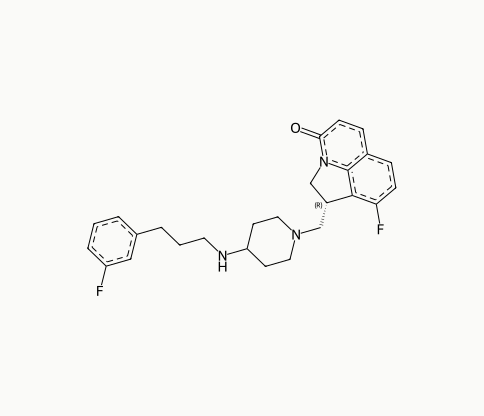 O=c1ccc2ccc(F)c3c2n1C[C@H]3CN1CCC(NCCCc2cccc(F)c2)CC1